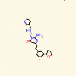 Nc1nc(CCc2cccc(-c3ccco3)c2)cc(=O)n1CCNCc1cccnc1